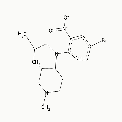 CC(C)CN(c1ccc(Br)cc1[N+](=O)[O-])C1CCN(C)CC1